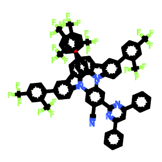 N#Cc1cc(-n2c3ccc(-c4ccc(C(F)(F)F)cc4C(F)(F)F)cc3c3cc(-c4ccc(C(F)(F)F)cc4C(F)(F)F)ccc32)c(-n2c3ccc(-c4ccc(C(F)(F)F)cc4C(F)(F)F)cc3c3cc(-c4ccc(C(F)(F)F)cc4C(F)(F)F)ccc32)cc1-c1nc(-c2ccccc2)cc(-c2ccccc2)n1